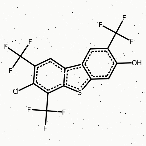 Oc1cc2sc3c(C(F)(F)F)c(Cl)c(C(F)(F)F)cc3c2cc1C(F)(F)F